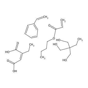 C=CC(=O)OCCCC.C=Cc1ccccc1.CCC(=CC(=O)O)C(=O)O.CCC(CO)(CO)CO